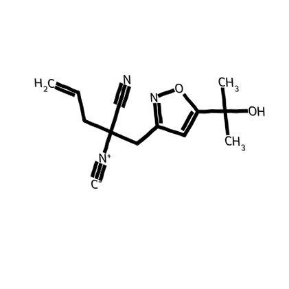 [C-]#[N+]C(C#N)(CC=C)Cc1cc(C(C)(C)O)on1